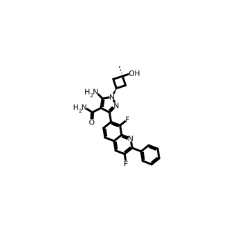 C[C@]1(O)C[C@@H](n2nc(-c3ccc4cc(F)c(-c5ccccc5)nc4c3F)c(C(N)=O)c2N)C1